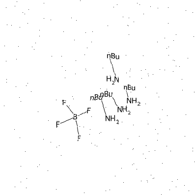 CCCCN.CCCCN.CCCCN.CCCCN.F[B-](F)(F)F